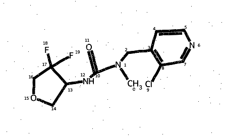 CN(Cc1ccncc1Cl)C(=O)NC1COCC1(F)F